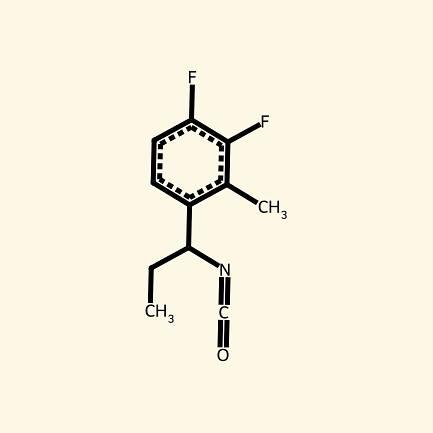 CCC(N=C=O)c1ccc(F)c(F)c1C